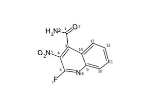 NC(=O)c1c([N+](=O)[O-])c(F)nc2ccccc12